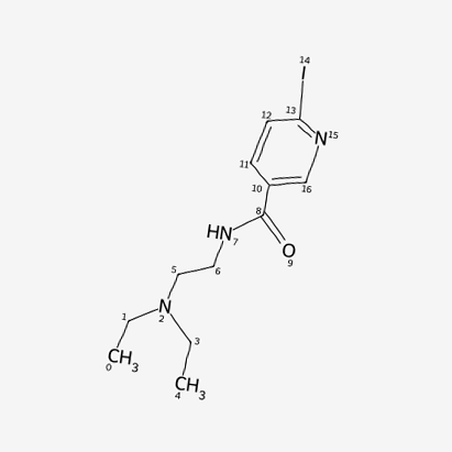 CCN(CC)CCNC(=O)c1ccc(I)nc1